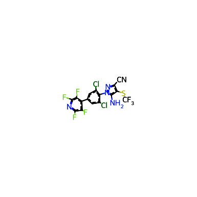 N#Cc1nn(-c2c(Cl)cc(-c3c(F)c(F)nc(F)c3F)cc2Cl)c(N)c1SC(F)(F)F